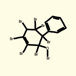 BrOC1(Br)C(Br)=C(Br)C(Br)C(Br)(Br)C1(Br)c1ccccc1